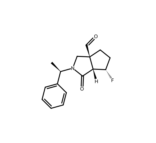 C[C@H](c1ccccc1)N1C[C@]2(C=O)CC[C@H](F)[C@@H]2C1=O